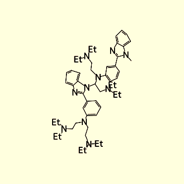 CCN(CC)CCN(CCN(CC)CC)c1cccc(-c2nc3ccccc3n2C(CN(CC)CC)N(CCN(CC)CC)c2cccc(-c3nc4ccccc4n3C)c2)c1